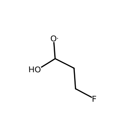 [O]C(O)CCF